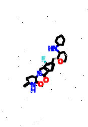 C=C1CCC(N2Cc3c(ccc(C[C@H]4OCCC[C@@H]4NC4CCCCC4)c3F)C2=O)C(=O)N1